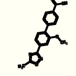 COc1cc(-c2noc(C)n2)ccc1-c1ccc(C(=O)O)cc1